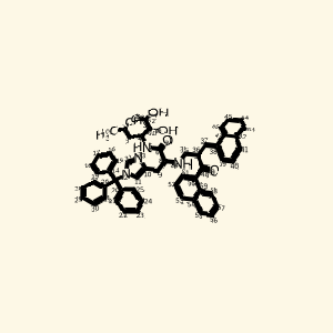 CC(C)CC(NC(=O)C(Cc1cn(C(c2ccccc2)(c2ccccc2)c2ccccc2)cn1)NCC(Cc1cccc2ccccc12)C(=O)c1cccc2ccccc12)[C@@H](O)C(=O)O